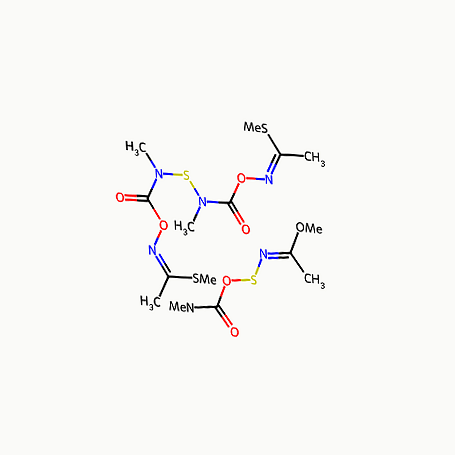 CNC(=O)OS/N=C(\C)OC.CS/C(C)=N\OC(=O)N(C)SN(C)C(=O)O/N=C(/C)SC